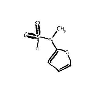 CN(c1ccco1)S(=O)(=O)Cl